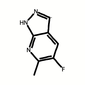 Cc1nc2[nH]n[c]c2cc1F